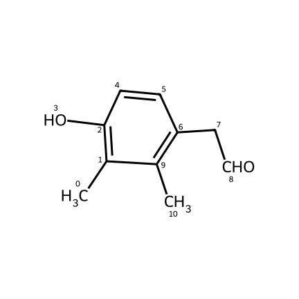 Cc1c(O)ccc(CC=O)c1C